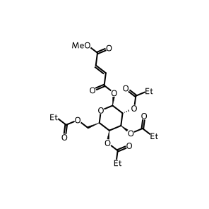 CCC(=O)OC[C@H]1O[C@@H](OC(=O)/C=C/C(=O)OC)[C@H](OC(=O)CC)[C@@H](OC(=O)CC)[C@H]1OC(=O)CC